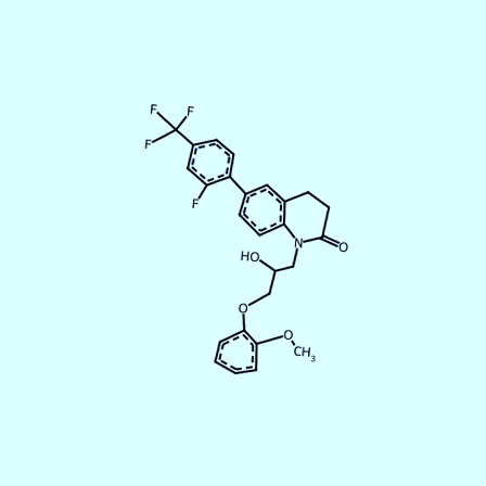 COc1ccccc1OCC(O)CN1C(=O)CCc2cc(-c3ccc(C(F)(F)F)cc3F)ccc21